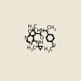 COc1ccc([C@@H](C)NC(=O)c2c(C)oc3ncnc(NC4(C)CC4)c23)cc1